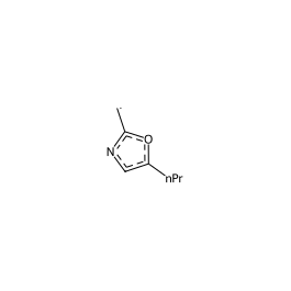 [CH2]c1ncc(CCC)o1